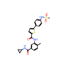 Cc1ccc(C(=O)NC2CC2)cc1NC(=O)c1ccc(-c2ccc(NS(C)(=O)=O)cc2)s1